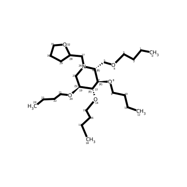 CCCCOC[C@@H]1[C@@H](OCCCC)[C@H](OCCCC)[C@@H](OCCCC)CN1CC1CCCO1